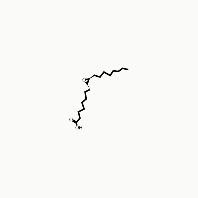 CCCCCCCC[C@@H]1O[C@H]1CCCCCCCC(=O)O